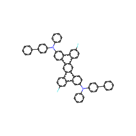 Fc1ccc2c(c1)c1cc(N(c3ccccc3)c3ccc(-c4ccccc4)cc3)ccc1c1cc3c4ccc(F)cc4c4cc(N(c5ccccc5)c5ccc(-c6ccccc6)cc5)ccc4c3cc21